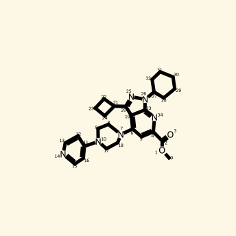 COC(=O)c1cc(N2CCN(c3ccncc3)CC2)c2c(C3CCC3)nn(C3CCCCC3)c2n1